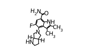 Cc1[nH]c2c(C(N)=O)cc(F)c(N3C[C@@H]4CCN[C@@H]4C3)c2c1C